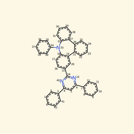 c1ccc(-c2cc(-c3ccccc3)nc(-c3ccc4c(c3)-c3ccccc3-c3ccccc3N4c3ccccc3)n2)cc1